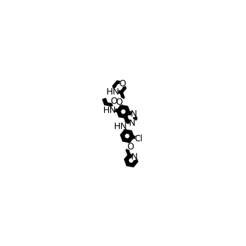 C=CC(=O)Nc1cc2c(Nc3ccc(OCc4ccccn4)c(Cl)c3)ncnc2cc1OCC1COCCN1